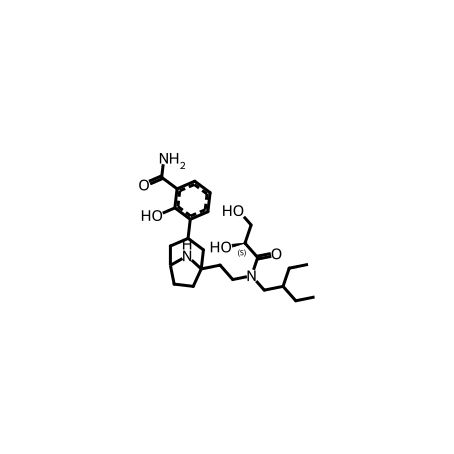 CCC(CC)CN(CCC12CCC(CC(c3cccc(C(N)=O)c3O)C1)N2)C(=O)[C@@H](O)CO